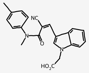 Cc1ccc(N(C)C(=O)C(C#N)=Cc2cn(CC(=O)O)c3ccccc23)cc1